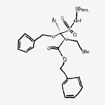 CCCCCNS(=O)(=O)[C@@](OCc1ccccc1)(C(C)=O)N(CC(C)CC)C(=O)OCc1ccccc1